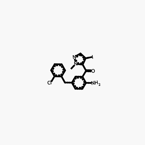 Cn1ncc(I)c1C(=O)c1cc(Cc2ccccc2Cl)ccc1N